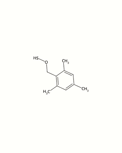 Cc1cc(C)c(COS)c(C)c1